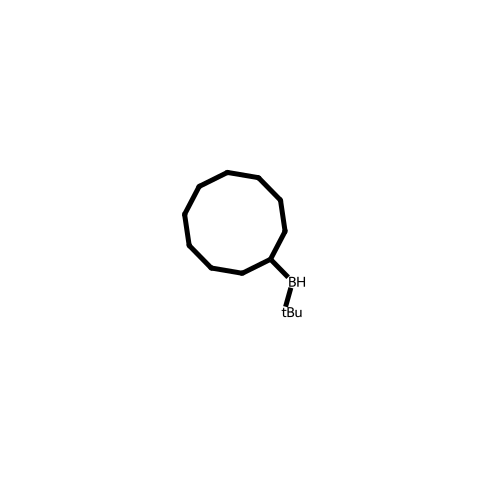 CC(C)(C)BC1CCCCCCCCC1